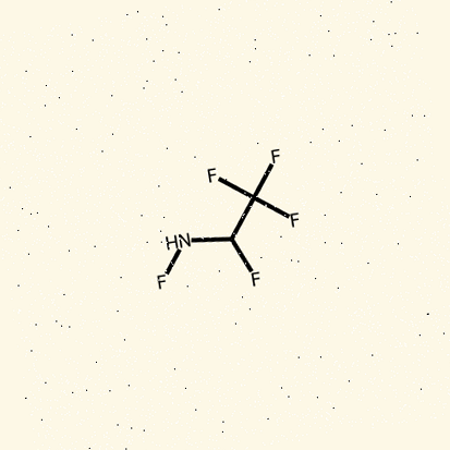 FNC(F)C(F)(F)F